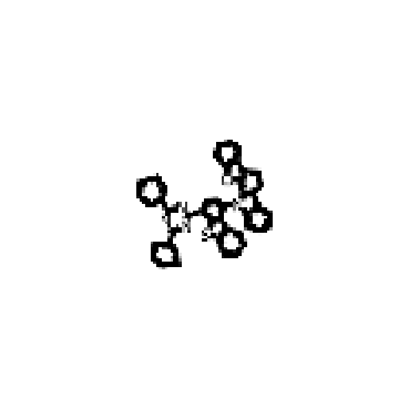 c1ccc(-c2nc(-c3ccccc3)nc(-c3ccc(-n4c5ccccc5c5ccc6c7ccccc7oc6c54)c4c3sc3ccccc34)n2)cc1